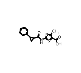 Cc1nc(NC(=O)C2CC2c2ccccc2)sc1C(=O)O